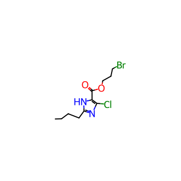 CCCCc1nc(Cl)c(C(=O)OCCCBr)[nH]1